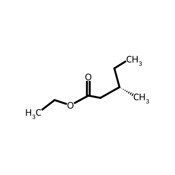 CCOC(=O)C[C@@H](C)CC